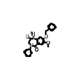 [2H]N1C(=O)CN(c2ccccc2)C(=O)c2cc(OC)c(OCc3ccccc3)cc21